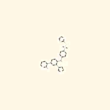 O=S(=O)(Nc1nccs1)c1ccc(C(O)c2ccc(-c3cccnc3F)cc2-c2ccoc2)cc1